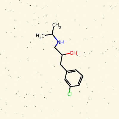 CC(C)NCC(O)Cc1cccc(Cl)c1